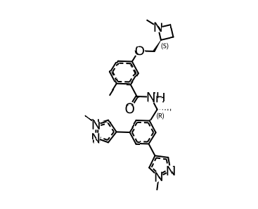 Cc1ccc(OC[C@@H]2CCN2C)cc1C(=O)N[C@H](C)c1cc(-c2cnn(C)c2)cc(-c2cnn(C)c2)c1